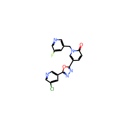 O=c1ccc(-c2nnc(-c3cncc(Cl)c3)o2)cn1Cc1cncc(F)c1